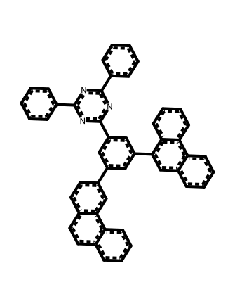 c1ccc(-c2nc(-c3ccccc3)nc(-c3cc(-c4ccc5ccc6ccccc6c5c4)cc(-c4cc5ccccc5c5ccccc45)c3)n2)cc1